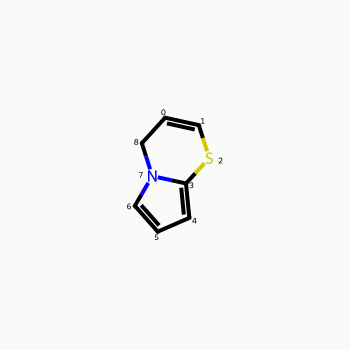 C1=CSc2cccn2C1